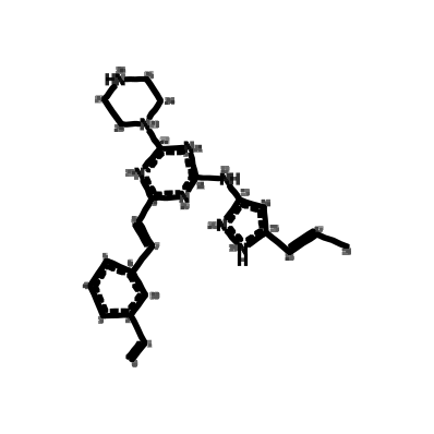 C=Cc1cccc(/C=C/c2nc(Nc3cc(/C=C/C)[nH]n3)nc(N3CCNCC3)n2)c1